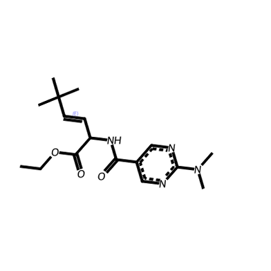 CCOC(=O)C(/C=C/C(C)(C)C)NC(=O)c1cnc(N(C)C)nc1